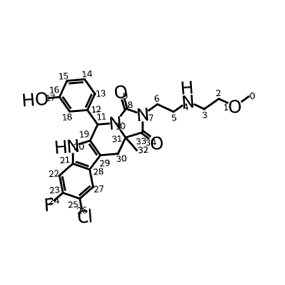 COCCNCCN1C(=O)N2C(c3cccc(O)c3)c3[nH]c4cc(F)c(Cl)cc4c3CC2(C)C1=O